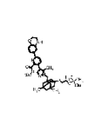 Cc1c(-c2ccc(-c3ccc4c(c3)NCCO4)nc2C(=O)OC(C)(C)C)cnn1CC12CC3(C)CC(C)(C1)CC(OCCO[Si](C)(C)C(C)(C)C)(C3)C2